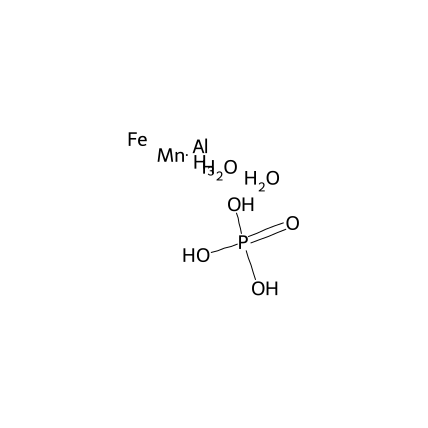 O.O.O=P(O)(O)O.[AlH3].[Fe].[Mn]